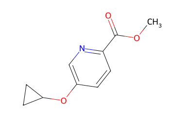 COC(=O)c1ccc(OC2CC2)cn1